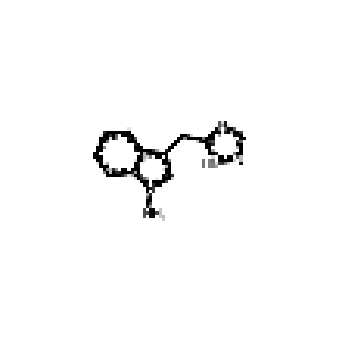 Nn1cc(Cc2nnn[nH]2)c2ccccc21